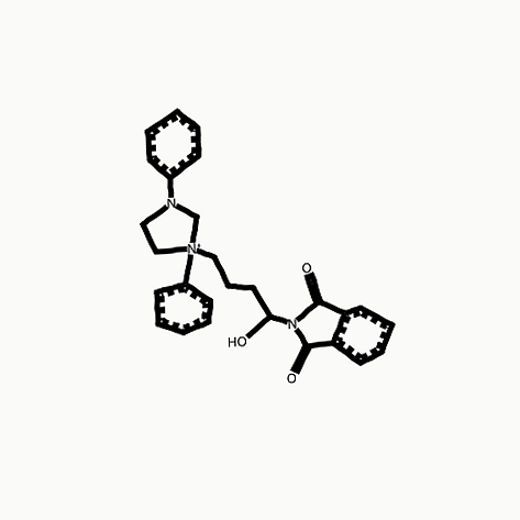 O=C1c2ccccc2C(=O)N1C(O)CCC[N+]1(c2ccccc2)CCN(c2ccccc2)C1